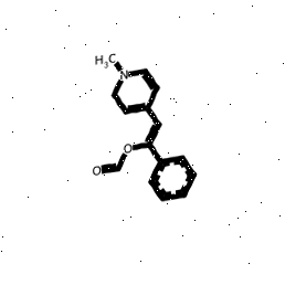 CN1C=CC(C=C(OC=O)c2ccccc2)=CC1